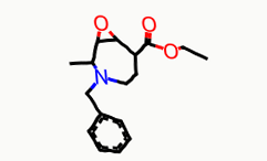 CCOC(=O)C1CCN(Cc2ccccc2)C(C)C2OC12